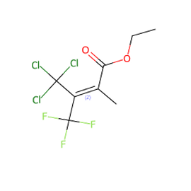 CCOC(=O)/C(C)=C(/C(F)(F)F)C(Cl)(Cl)Cl